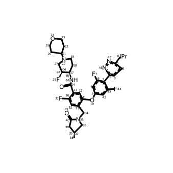 CC(C)c1ccc(-c2c(F)cc(Oc3cc(C(=O)N[C@@H]4CCN(C5CCOCC5)C[C@@H]4F)c(F)cc3CN3C[C@@H](C)CC3=O)cc2F)nn1